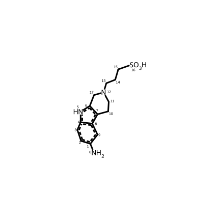 Nc1ccc2[nH]c3c(c2c1)CCN(CCCS(=O)(=O)O)C3